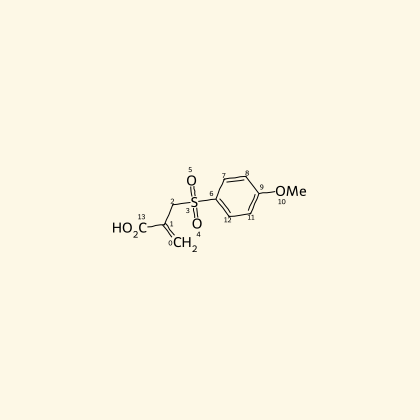 C=C(CS(=O)(=O)c1ccc(OC)cc1)C(=O)O